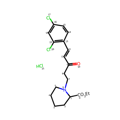 CCOC(=O)C1CCCCN1CCC(=O)C=Cc1ccc(Cl)cc1Cl.Cl